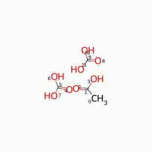 CC(=O)O.O=C(O)O.O=C(O)O